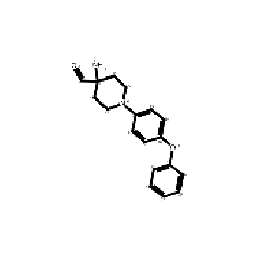 NC1(C=O)CCN(c2ccc(Oc3ccccc3)cc2)CC1